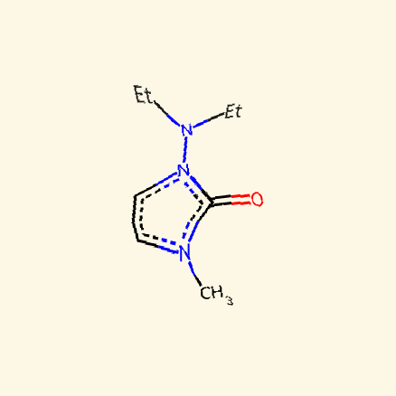 CCN(CC)n1ccn(C)c1=O